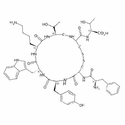 CC(O)[C@H](NC(=O)C1CSSCC(NC(=O)[C@H](N)Cc2ccccc2)C(=O)N[C@@H](Cc2ccc(O)cc2)C(=O)N[C@H](Cc2c[nH]c3ccccc23)C(=O)N[C@@H](CCCCN)C(=O)N[C@@H](C(C)O)CN1)C(=O)O